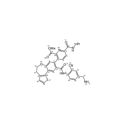 CCCNC(=O)c1ccc(-c2cc3c(cc2C(=O)Nc2ccc(CN)cc2C#N)-c2sccc2CCO3)c(C(=O)OC)n1